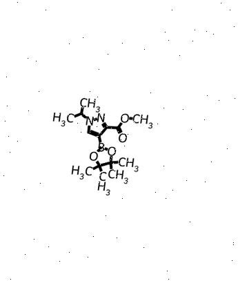 COC(=O)c1nn(C(C)C)cc1B1OC(C)(C)C(C)(C)O1